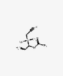 C#CC[N+](C)(C)C(C=C)OC(=O)C(F)(F)F